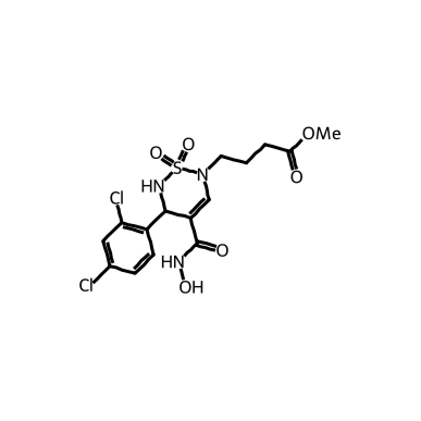 COC(=O)CCCN1C=C(C(=O)NO)C(c2ccc(Cl)cc2Cl)NS1(=O)=O